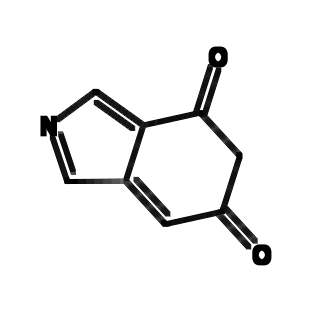 O=C1C=C2C=NC=C2C(=O)C1